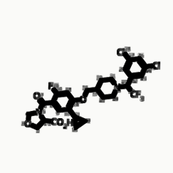 O=C(O)C1COCN1C(=O)c1cc(C2CC2)c(OCC2CCN(C(c3cc(Cl)cc(Cl)c3)C(F)(F)F)CC2)cc1F